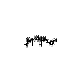 Oc1cccc(CCc2cc(Nc3ccnc(NCc4cc(C5CC5)no4)n3)[nH]n2)c1